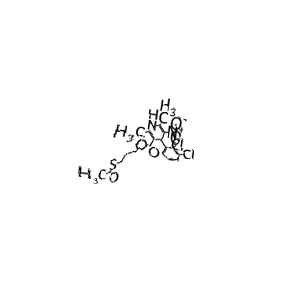 CC(=O)SCCCOC(=O)C1=C(C)NC(C)=C([N+](=O)[O-])C1c1cccc(Cl)c1Cl